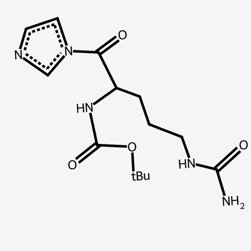 CC(C)(C)OC(=O)NC(CCCNC(N)=O)C(=O)n1ccnc1